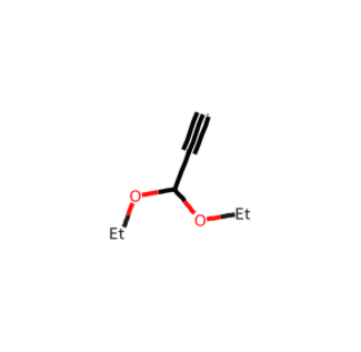 [C]#CC(OCC)OCC